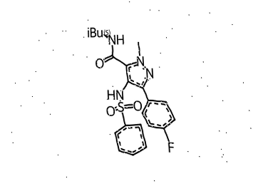 CC[C@H](C)NC(=O)c1c(NS(=O)(=O)c2ccccc2)c(-c2ccc(F)cc2)nn1C